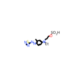 CCN(CCCOS(=O)(=O)O)c1ccc(N=Nc2ncns2)c(C)c1